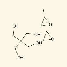 C1CO1.CC1CO1.OCC(CO)(CO)CO